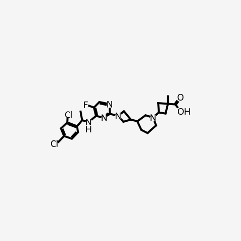 CC(Nc1nc(N2CC(C3CCCN(C4CC(C)(C(=O)O)C4)C3)C2)ncc1F)c1ccc(Cl)cc1Cl